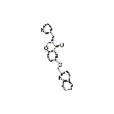 O=C1/C(=C/c2cccnc2)COc2ccc(OCc3ccc4ccccc4n3)cc21